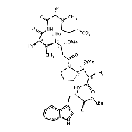 CC[C@H](C)[C@@H]([C@@H](CC(=O)N1CCC[C@H]1[C@H](OC)[C@@H](C)C(=O)N[C@@H](Cc1c[nH]c2ccccc12)C(=O)OC(C)(C)C)OC)N(C)[C@H](C(=O)NC(=O)[C@H](C(C)C)N(C)CCCC(=O)O)C(C)C